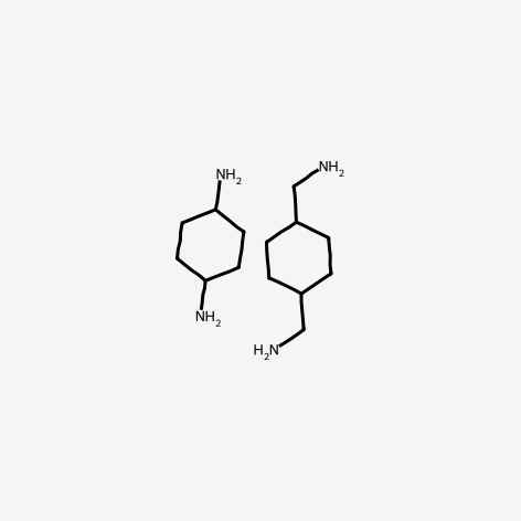 NC1CCC(N)CC1.NCC1CCC(CN)CC1